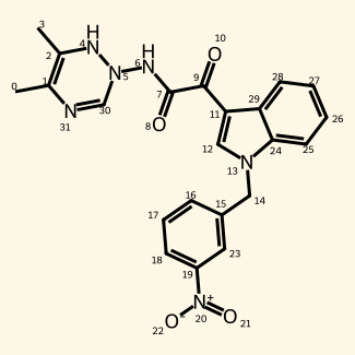 CC1=C(C)NN(NC(=O)C(=O)c2cn(Cc3cccc([N+](=O)[O-])c3)c3ccccc23)C=N1